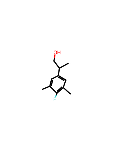 [CH2]C(CO)c1cc(C)c(F)c(C)c1